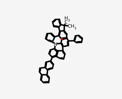 CC1(C)c2ccccc2-c2c(-c3ccccc3N(c3ccc(-c4ccc5c(ccc6ccccc65)c4)cc3)c3ccc(-c4ccccc4)cc3-c3ccccc3)cccc21